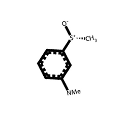 CNc1cccc([S@@+](C)[O-])c1